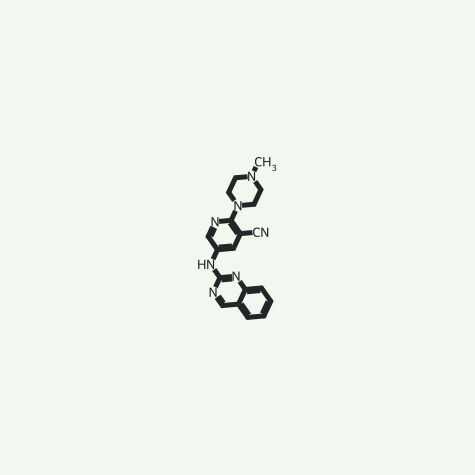 CN1CCN(c2ncc(Nc3ncc4ccccc4n3)cc2C#N)CC1